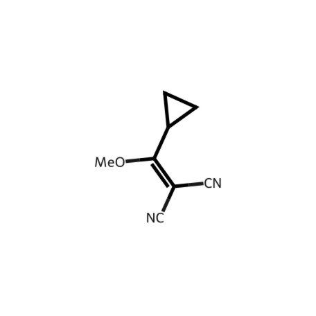 COC(=C(C#N)C#N)C1CC1